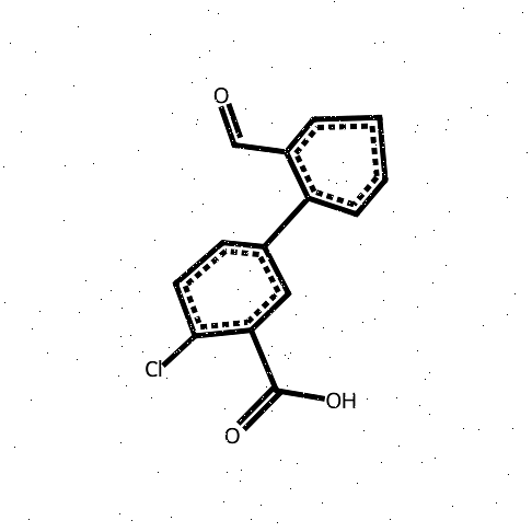 O=Cc1ccccc1-c1ccc(Cl)c(C(=O)O)c1